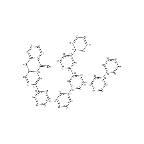 O=C1c2ccccc2SC2C=CC(c3cccc(-c4cccc(-c5cc(-c6cccc(-c7ccccc7)c6)cc(-c6cccc(C7C=CC=CC7)c6)c5)c4)c3)=CC12